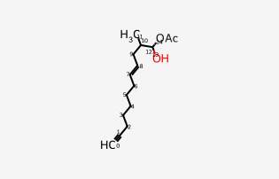 C#CCCCCC/C=C/CC(C)C(O)OC(C)=O